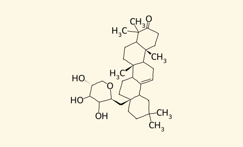 CC1(C)CC[C@]2(C[C@@H]3OC[C@@H](O)C(O)C3O)CCC3C(=CCC4[C@@]3(C)CCC3C(C)(C)C(=O)CC[C@@]34C)C2C1